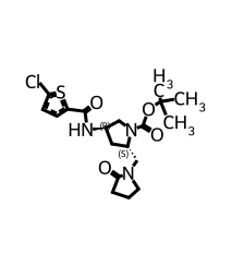 CC(C)(C)OC(=O)N1C[C@H](NC(=O)c2ccc(Cl)s2)C[C@H]1CN1CCCC1=O